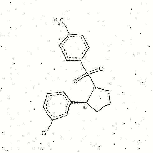 Cc1ccc(S(=O)(=O)N2CCC[C@H]2c2cccc(Cl)c2)cc1